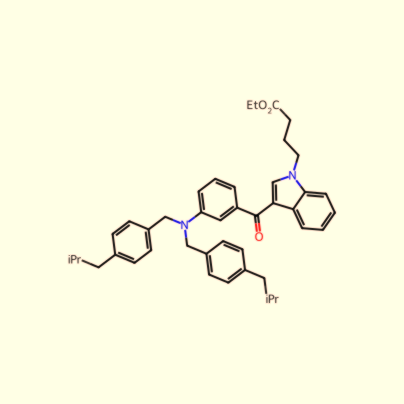 CCOC(=O)CCCn1cc(C(=O)c2cccc(N(Cc3ccc(CC(C)C)cc3)Cc3ccc(CC(C)C)cc3)c2)c2ccccc21